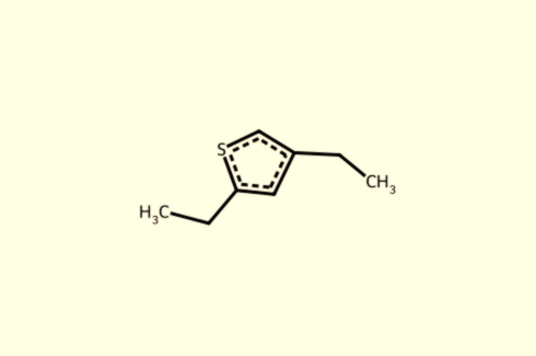 CCc1csc(CC)c1